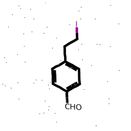 O=Cc1ccc(CCI)cc1